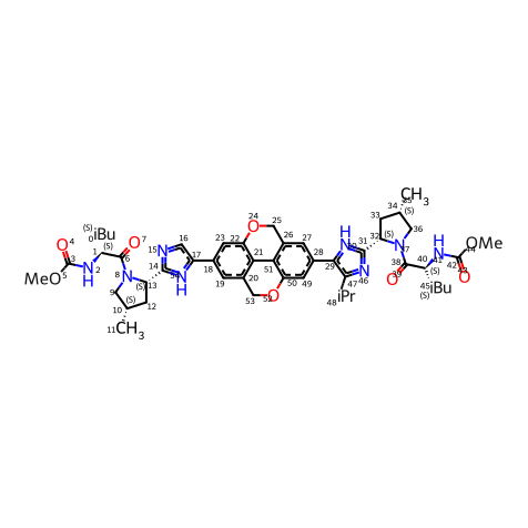 CC[C@H](C)[C@H](NC(=O)OC)C(=O)N1C[C@@H](C)C[C@H]1c1ncc(-c2cc3c4c(c2)OCc2cc(-c5[nH]c([C@@H]6C[C@H](C)CN6C(=O)[C@@H](NC(=O)OC)[C@@H](C)CC)nc5C(C)C)cc(c2-4)OC3)[nH]1